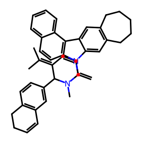 C=C/C=C\C(=C(C)C)C(c1ccc2c(c1)C=CCC2)N(C)Cn1c2cc3c(cc2c2c4ccccc4ccc21)CCCCC3